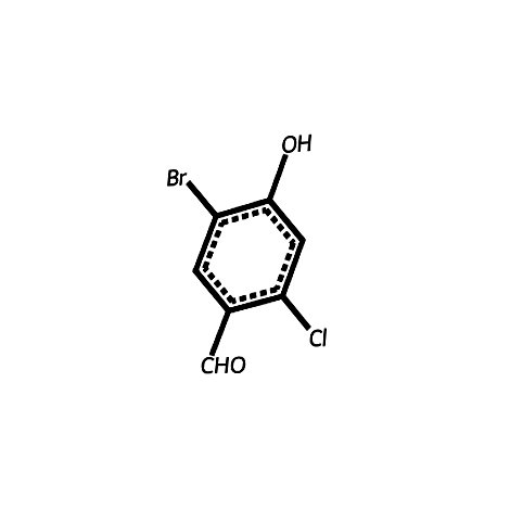 O=Cc1cc(Br)c(O)cc1Cl